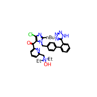 CCCCc1nc(Cl)c(C(=O)c2cccc(C[N+](O)(CC)CC)n2)n1Cc1ccc(-c2ccccc2-c2nnn[nH]2)cc1